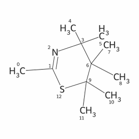 CC1=NC(C)(C)C(C)(C)C(C)(C)S1